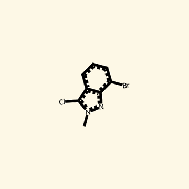 Cn1nc2c(Br)cccc2c1Cl